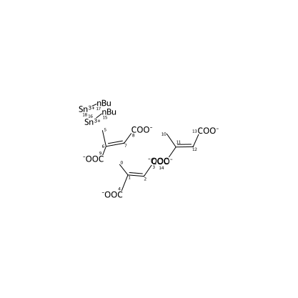 CC(=CC(=O)[O-])C(=O)[O-].CC(=CC(=O)[O-])C(=O)[O-].CC(=CC(=O)[O-])C(=O)[O-].CCC[CH2][Sn+3].CCC[CH2][Sn+3]